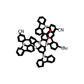 CC(C)(C)c1ccc(N2c3cc(-c4cc(C#N)ccc4-n4c5ccccc5c5ccccc54)ccc3B3c4ccc(-c5cc(C#N)ccc5-n5c6ccccc6c6ccccc65)cc4Oc4cc(-n5c6ccccc6c6ccccc65)cc2c43)c(-c2ccccc2)c1